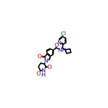 O=C1CCC(N2Cc3cc(C(=O)NC(c4ccc(Cl)cn4)C4CCC4)ccc3C2=O)C(=O)N1